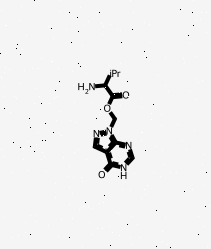 CC(C)C(N)C(=O)OCn1ncc2c(=O)[nH]cnc21